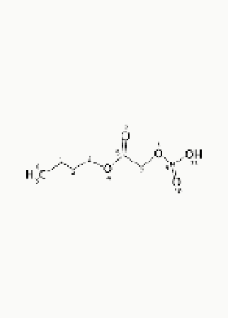 CCCCOC(=O)COC(=O)O